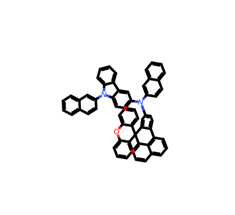 c1ccc2c(c1)Oc1ccccc1C21c2cc(N(c3ccc4ccccc4c3)c3ccc4c(c3)c3ccccc3n4-c3ccc4ccccc4c3)ccc2-c2cccc3cccc1c23